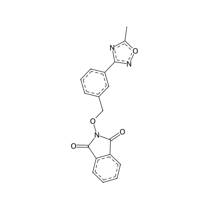 Cc1nc(-c2cccc(CON3C(=O)c4ccccc4C3=O)c2)no1